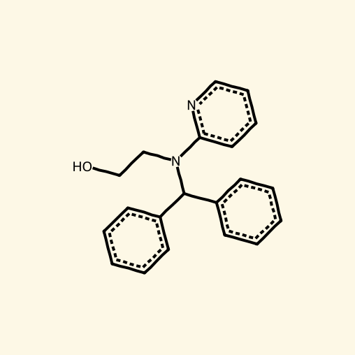 OCCN(c1ccccn1)C(c1ccccc1)c1ccccc1